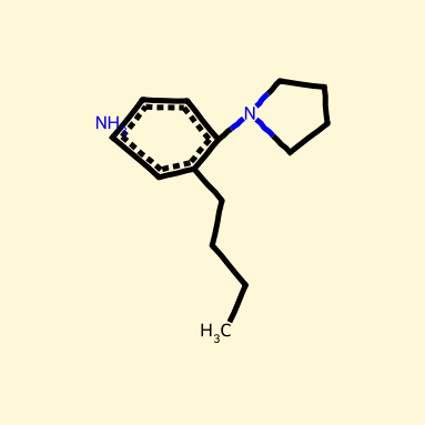 CCCCc1ccccc1N1CCCC1.N